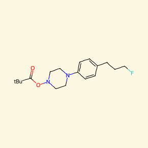 CC(C)(C)C(=O)ON1CCN(c2ccc(CCCF)cc2)CC1